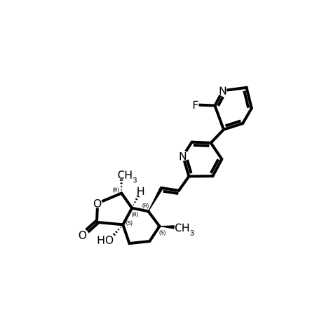 C[C@H]1CC[C@@]2(O)C(=O)O[C@H](C)[C@H]2[C@H]1C=Cc1ccc(-c2cccnc2F)cn1